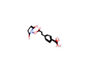 O=C(CCc1ccc(C(=O)O)cc1)ON1C(=O)CCC1=O